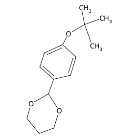 CC(C)(C)Oc1ccc(C2OCCCO2)cc1